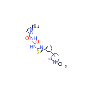 C/C1=N/C=C\C(c2cccc(-c3csc(NC(=O)CNC(=O)c4ccn(C(C)(C)C)n4)n3)c2)=C/CC1